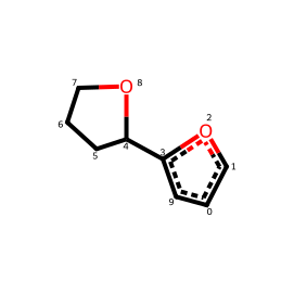 c1coc(C2CCCO2)c1